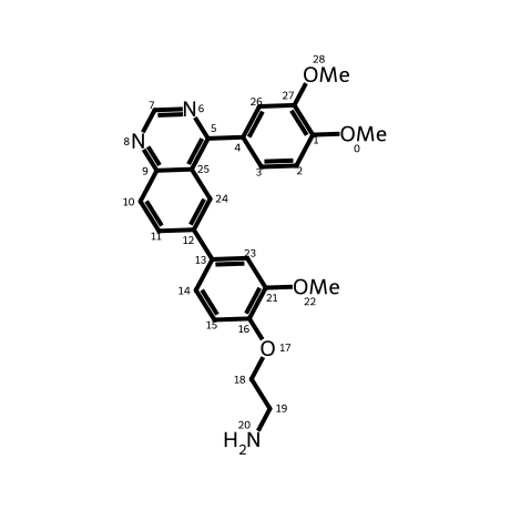 COc1ccc(-c2ncnc3ccc(-c4ccc(OCCN)c(OC)c4)cc23)cc1OC